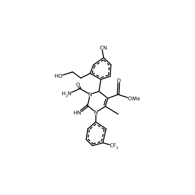 COC(=O)C1=C(C)N(c2cccc(C(F)(F)F)c2)C(=N)N(C(N)=O)C1c1ccc(C#N)cc1CCO